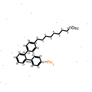 CCCCCCCCCCCCCCCCCCc1ccc(-c2ccccc2-c2ccccc2)cc1.P